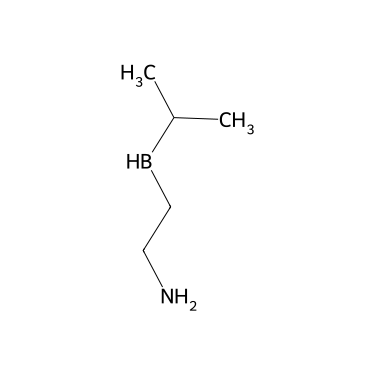 CC(C)BCCN